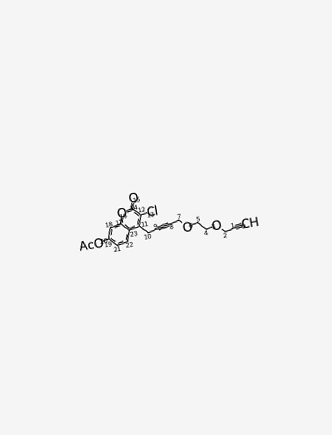 C#CCOCCOCC#CCc1c(Cl)c(=O)oc2cc(OC(C)=O)ccc12